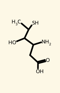 CC(S)C(O)C(N)CC(=O)O